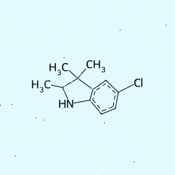 CC1Nc2ccc(Cl)cc2C1(C)C